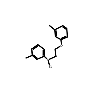 CCN(CCOc1cccc(C)c1)c1cccc(C)c1